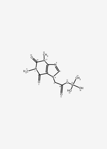 Cn1c(=O)c2c(ncn2CC(=O)O[Si](C)(O)O)n(C)c1=O